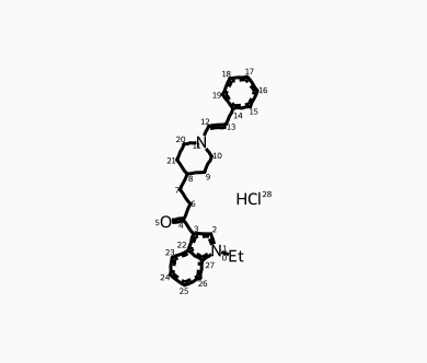 CCn1cc(C(=O)CCC2CCN(C=Cc3ccccc3)CC2)c2ccccc21.Cl